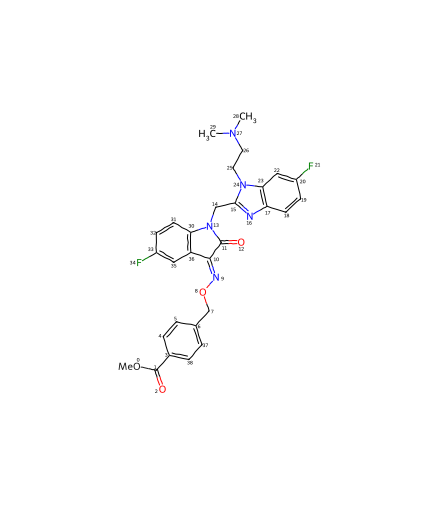 COC(=O)c1ccc(CO/N=C2/C(=O)N(Cc3nc4ccc(F)cc4n3CCN(C)C)c3ccc(F)cc32)cc1